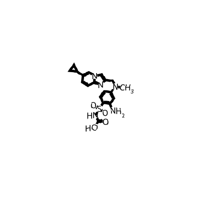 CN(Cc1cn2cc(C3CC3)ccc2n1)c1ccc(S(=O)(=O)NC(=O)O)c(N)c1